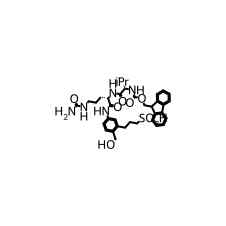 CC(C)[C@H](NC(=O)OCC1c2ccccc2-c2ccccc21)C(=O)N[C@@H](CCCNC(N)=O)C(=O)Nc1ccc(CO)c(CCCS(=O)(=O)O)c1